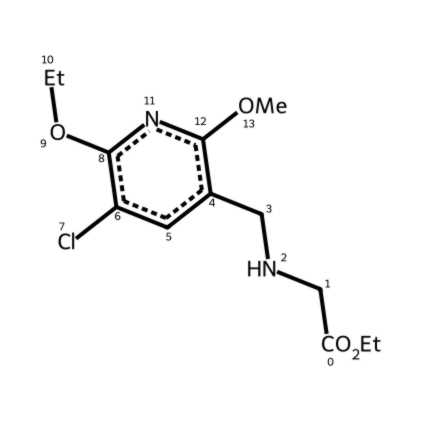 CCOC(=O)CNCc1cc(Cl)c(OCC)nc1OC